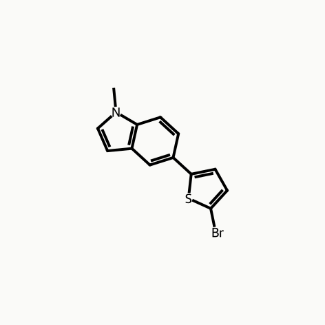 Cn1ccc2cc(-c3ccc(Br)s3)ccc21